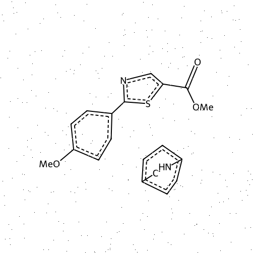 COC(=O)c1cnc(-c2ccc(OC)cc2)s1.c1cc2ccc1CN2